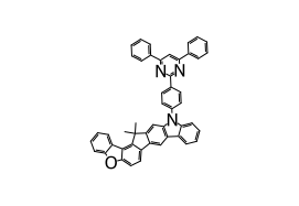 CC1(C)c2cc3c(cc2-c2ccc4oc5ccccc5c4c21)c1ccccc1n3-c1ccc(-c2nc(-c3ccccc3)cc(-c3ccccc3)n2)cc1